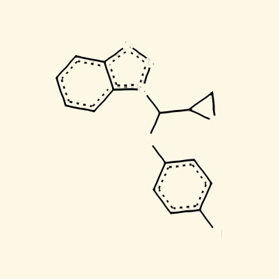 Clc1ccc(OC(C2CO2)n2nnc3ccccc32)cc1